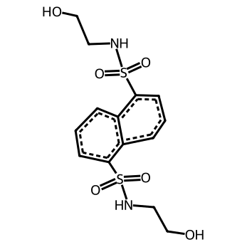 O=S(=O)(NCCO)c1cccc2c(S(=O)(=O)NCCO)cccc12